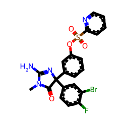 CN1C(=O)C(c2cccc(OS(=O)(=O)c3ccccn3)c2)(c2ccc(F)c(Br)c2)N=C1N